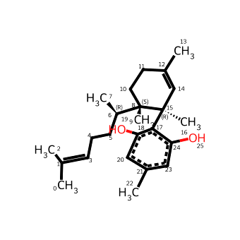 CC(C)=CCC[C@@H](C)[C@]1(C)CCC(C)=C[C@@]1(C)c1c(O)cc(C)cc1O